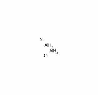 [AlH3].[AlH3].[Cr].[Ni]